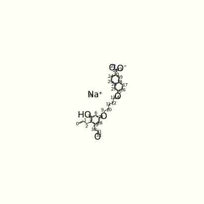 C=CCc1c(O)cc(OCCCCCOc2ccc3cc(C(=O)[O-])ccc3c2)cc1CC=O.[Na+]